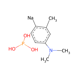 Cc1cc(N(C)C)cc[c]1[Na].OP(O)O